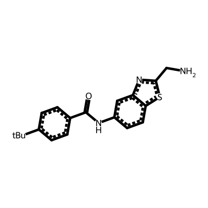 CC(C)(C)c1ccc(C(=O)Nc2ccc3sc(CN)nc3c2)cc1